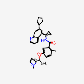 Cc1ccc(OC([SiH3])[C@@H]2CCN2C)cc1C(=O)NC1(c2cc(C3=CCCC3)cc3ncccc23)CC1